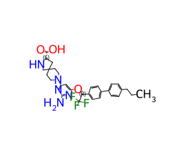 CCCc1ccc(-c2ccc([C@@H](Oc3cc(N4CCC5(CC4)CN[C@H](C(=O)O)C5)nc(N)n3)C(F)(F)F)cc2)cc1